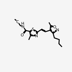 CCCCc1noc(C)c1C=Cc1nc(C)c(C(=O)NCCC)s1